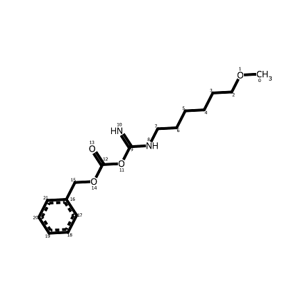 COCCCCCCNC(=N)OC(=O)OCc1ccccc1